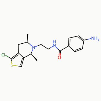 C[C@@H]1Cc2c(csc2Cl)[C@H](C)N1CCNC(=O)c1ccc(N)cc1